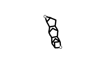 C1C2OC2C2C1C1CC2C2C3CC4(CC3O4)C12